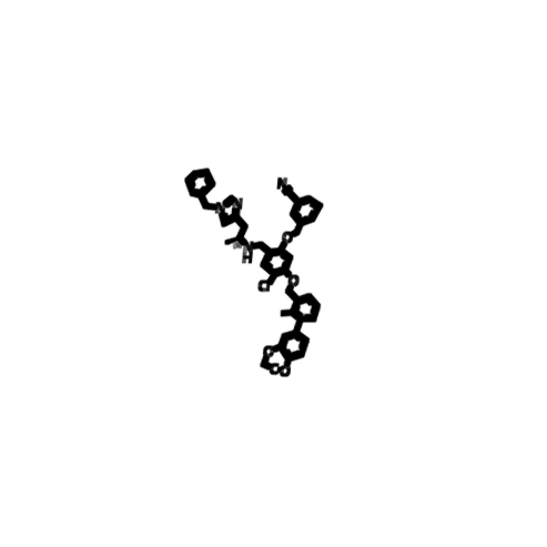 Cc1c(COc2cc(OCc3cccc(C#N)c3)c(CN[C@@H](C)Cc3cn(Cc4ccccc4)cn3)cc2Cl)cccc1-c1ccc2c(c1)OCCO2